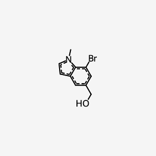 Cn1ccc2cc(CO)cc(Br)c21